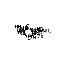 CO[C@H]1[C@H](n2cnc3c(N)ncnc32)O[C@]2(C)CO[PH](=O)O[C@@H]3[C@H](O)[C@@H](CO[P@](=O)(S)O[C@@H]12)O[C@H]3NC=N